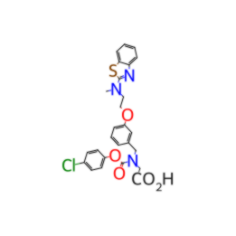 CN(CCOc1cccc(CN(CC(=O)O)C(=O)Oc2ccc(Cl)cc2)c1)c1nc2ccccc2s1